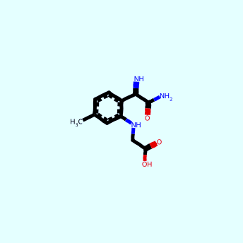 Cc1ccc(C(=N)C(N)=O)c(NCC(=O)O)c1